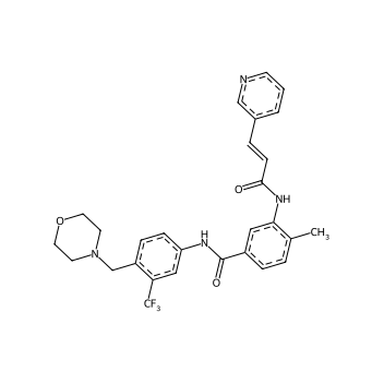 Cc1ccc(C(=O)Nc2ccc(CN3CCOCC3)c(C(F)(F)F)c2)cc1NC(=O)C=Cc1cccnc1